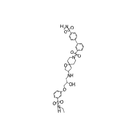 CCNS(=O)(=O)c1cccc(OCC(O)CNC2COC3(CCN(S(=O)(=O)c4cccc(-c5ccc(S(N)(=O)=O)cc5)c4)CC3)C2)c1